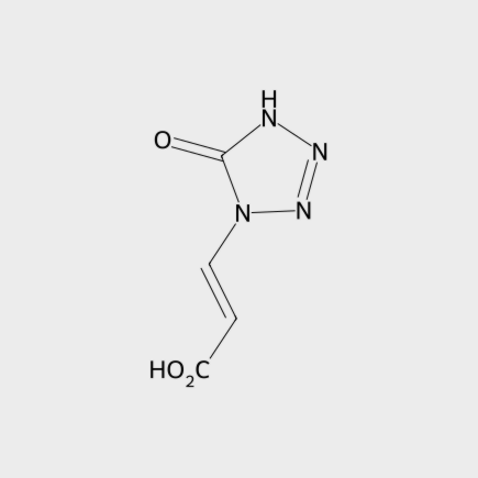 O=C(O)C=Cn1nn[nH]c1=O